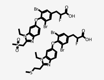 CCn1c(CCSC)nc2ccc(Oc3c(Br)cc(CC(F)C(=O)O)cc3Br)cc21.CCn1c(CS(C)(=O)=O)nc2ccc(Oc3c(Br)cc(CC(F)C(=O)O)cc3Br)cc21